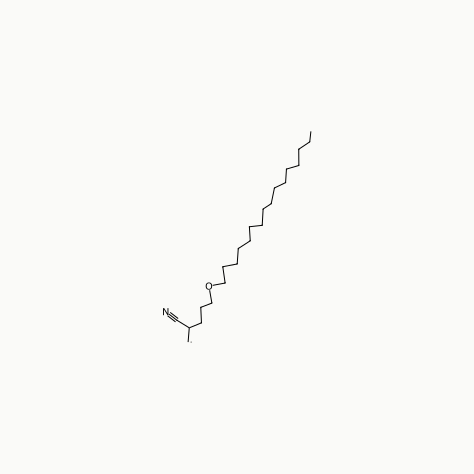 [CH2]C(C#N)CCCOCCCCCCCCCCCCCCCC